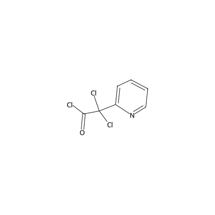 O=C(Cl)C(Cl)(Cl)c1ccccn1